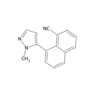 Cn1nccc1-c1cccc2cccc(C#N)c12